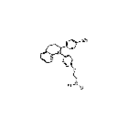 CCCCc1ccc(C2CCc3ccccc3N2c2ccc(OCCN(CC)CC)cc2)cc1